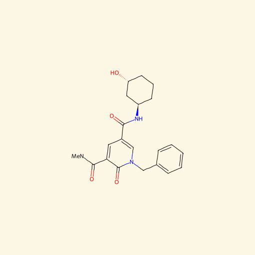 CNC(=O)c1cc(C(=O)N[C@@H]2CCC[C@@H](O)C2)cn(Cc2ccccc2)c1=O